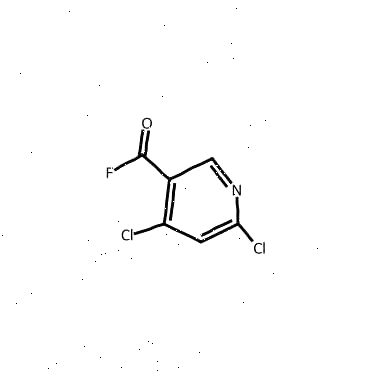 O=C(F)c1cnc(Cl)cc1Cl